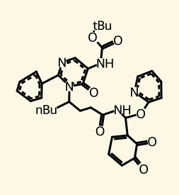 CCCCC(CCC(=O)NC(Oc1ccccn1)C1=CC=CC(=O)C1=O)n1c(-c2ccccc2)ncc(NC(=O)OC(C)(C)C)c1=O